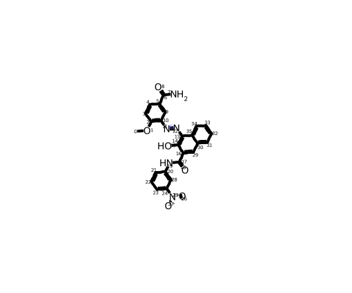 COc1ccc(C(N)=O)cc1/N=N/c1c(O)c(C(=O)Nc2cccc([N+](=O)[O-])c2)cc2ccccc12